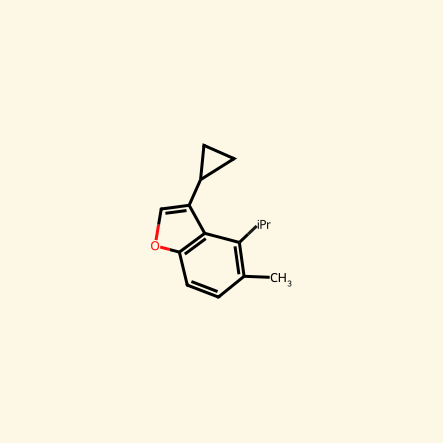 Cc1ccc2occ(C3CC3)c2c1C(C)C